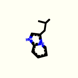 CC(C)Cc1c[nH]c2cccc[n+]12